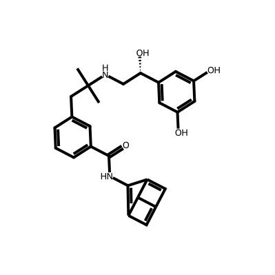 CC(C)(Cc1cccc(C(=O)NC2=C3C=C4C=C2C43)c1)NC[C@H](O)c1cc(O)cc(O)c1